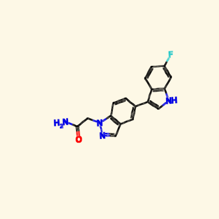 NC(=O)Cn1ncc2cc(-c3c[nH]c4cc(F)ccc34)ccc21